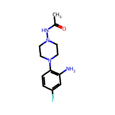 CC(=O)NN1CCN(c2ccc(F)cc2N)CC1